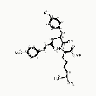 COC(=O)C(CCCNC(N)N)NC(=O)C(Cc1ccc(O)cc1)NC(=O)/N=N/c1ccc(SC)cc1